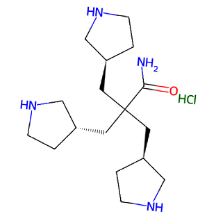 Cl.NC(=O)C(C[C@@H]1CCNC1)(C[C@@H]1CCNC1)C[C@@H]1CCNC1